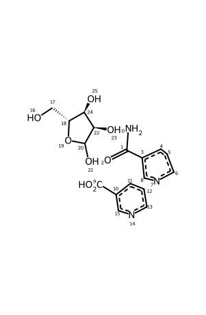 NC(=O)c1cccnc1.O=C(O)c1cccnc1.OC[C@H]1OC(O)[C@H](O)[C@@H]1O